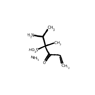 C=CC(=O)C(C)(C(C)N)S(=O)(=O)O.N